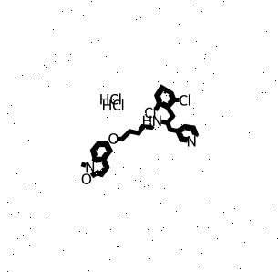 Cl.Cl.Cn1c(=O)ccc2cc(OCCCCCNC(Cc3cccnc3)Cc3c(Cl)cccc3Cl)ccc21